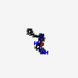 O=C(Nc1cccc(N2CCNCC2)c1)c1ccn2ncc(C#CCCCc3ccccc3)c2n1